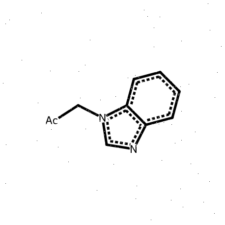 CC(=O)Cn1cnc2ccccc21